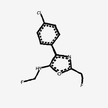 FCNc1oc(CF)nc1-c1ccc(Cl)cc1